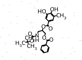 Cc1cc(C(=O)OC(CNC(=O)OC(C)(C)C)COC(=O)c2ccccc2)cc(O)c1O